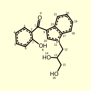 O=C(c1ccccc1O)c1cn(CC(O)CO)c2ccccc12